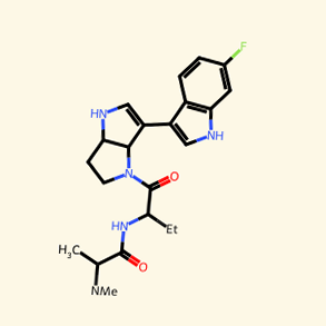 CCC(NC(=O)C(C)NC)C(=O)N1CCC2NC=C(c3c[nH]c4cc(F)ccc34)C21